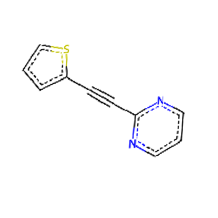 C(#Cc1cccs1)c1ncccn1